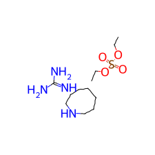 C1CCCNCCC1.CCOS(=O)(=O)OCC.N=C(N)N